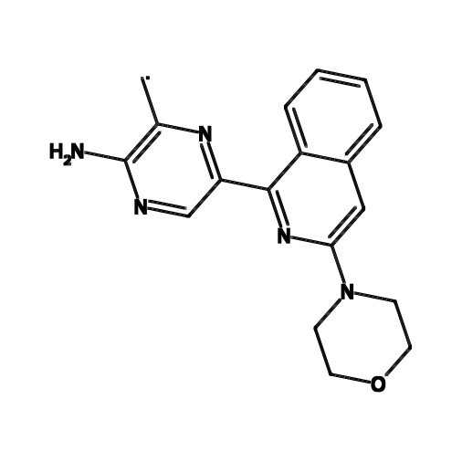 [CH2]c1nc(-c2nc(N3CCOCC3)cc3ccccc23)cnc1N